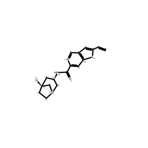 C=Cc1cc2cnc(C(=O)N[C@@H]3C[C@H]4CCN(C4)C3)cc2s1